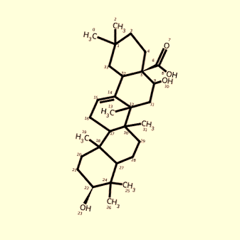 CC1(C)CC[C@]2(C(=O)O)C(O)CC3(C)C(=CCC4C5(C)CC[C@H](O)C(C)(C)C5CCC43C)C2C1